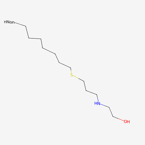 CCCCCCCCCCCCCCCCSCCCNCCO